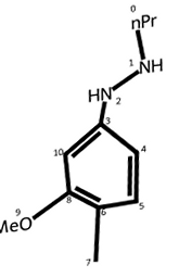 CCCNNc1ccc(C)c(OC)c1